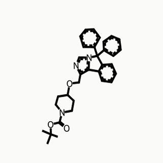 CC(C)(C)OC(=O)N1CCC(OCc2ncn3c2-c2ccccc2C3(c2ccccc2)c2ccccc2)CC1